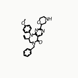 C=CC1CN(Cc2ccccc2)C(=O)c2cnc(C3CNCCO3)nc2N1c1ccc(OC)cc1